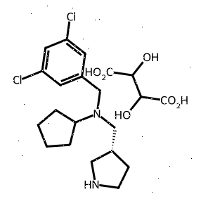 Clc1cc(Cl)cc(CN(C[C@@H]2CCNC2)C2CCCC2)c1.O=C(O)C(O)C(O)C(=O)O